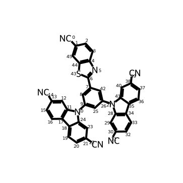 N#Cc1ccc2nc(-c3cc(-n4c5cc(C#N)ccc5c5ccc(C#N)cc54)cc(-n4c5cc(C#N)ccc5c5ccc(C#N)cc54)c3)sc2c1